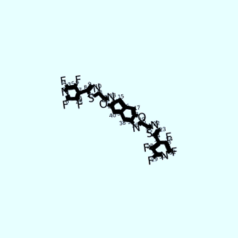 Fc1nc(F)c(F)c(-c2cnc(-c3nc4cc5cc6oc(-c7ncc(-c8c(F)c(F)nc(F)c8F)s7)nc6cc5cc4o3)s2)c1F